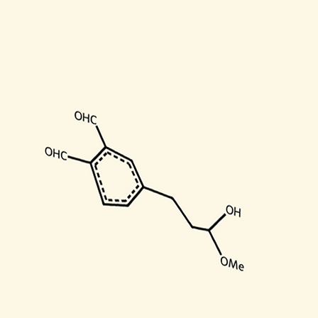 COC(O)CCc1ccc(C=O)c(C=O)c1